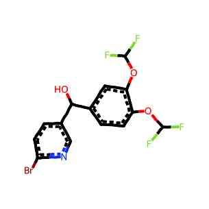 OC(c1ccc(Br)nc1)c1ccc(OC(F)F)c(OC(F)F)c1